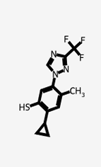 Cc1cc(C2CC2)c(S)cc1-n1cnc(C(F)(F)F)n1